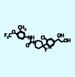 Cc1cc(NC(=O)N2CCC(F)(c3ncc([C@H](O)CO)cc3Cl)CC2)ccc1OC(F)(F)F